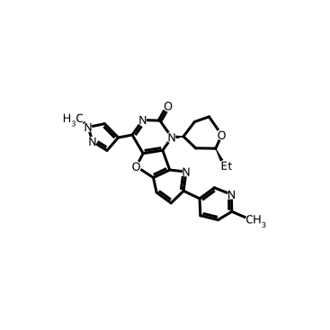 CC[C@H]1C[C@@H](n2c(=O)nc(-c3cnn(C)c3)c3oc4ccc(-c5ccc(C)nc5)nc4c32)CCO1